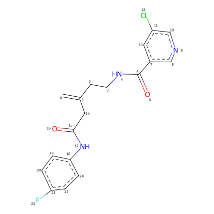 C=C(CCNC(=O)c1cncc(Cl)c1)CC(=O)Nc1ccc(F)cc1